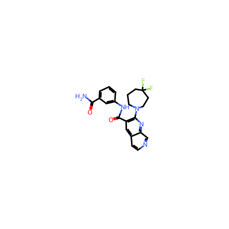 NC(=O)c1cccc(NC(=O)c2cc3ccncc3nc2N2CCCC(F)(F)CC2)c1